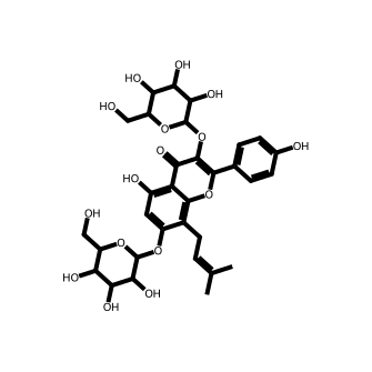 CC(C)=CCc1c(OC2OC(CO)C(O)C(O)C2O)cc(O)c2c(=O)c(OC3OC(CO)C(O)C(O)C3O)c(-c3ccc(O)cc3)oc12